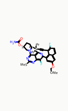 COCOc1cc(-c2nc(C)c3c(N4CCC[C@@H](OC(N)=O)C4)nc(SC)nc3c2F)c2c(C#C[Si](C(C)C)(C(C)C)C(C)C)c(F)ccc2c1